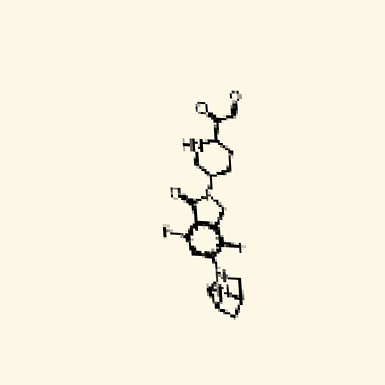 O=CC(=O)C1CCC(N2Cc3c(F)c(N4CC5CC(C4)N5)cc(F)c3C2=O)CN1